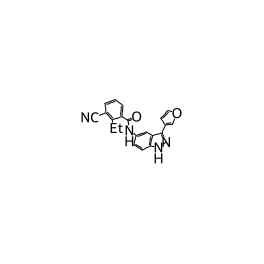 CCc1c(C#N)cccc1C(=O)Nc1ccc2[nH]nc(-c3ccoc3)c2c1